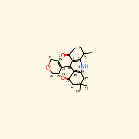 CC(=O)C1=C(C(C)C)NC2=C(C(=O)CC(C)(C)C2)C1C1=CCOCC1